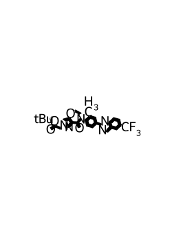 Cc1cc(-c2ncc3cc(C(F)(F)F)ccc3n2)ccc1N1CCOc2cn(CC(=O)OC(C)(C)C)nc2C1=O